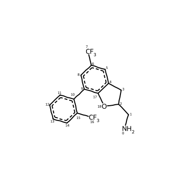 NCC1Cc2cc(C(F)(F)F)cc(-c3ccccc3C(F)(F)F)c2O1